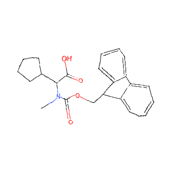 CN(C(=O)OCC1c2ccccc2-c2ccccc21)C(C(=O)O)C1CCCC1